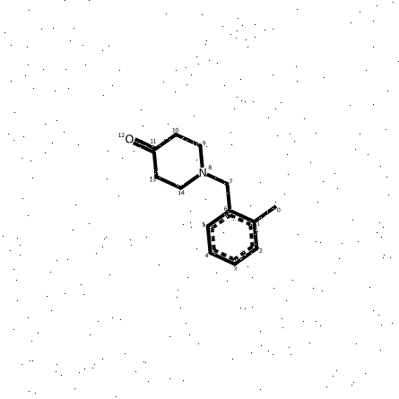 Cc1ccccc1CN1CCC(=O)CC1